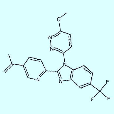 C=C(C)c1ccc(-c2nc3cc(C(F)(F)F)ccc3n2-c2ccc(OC)nn2)nc1